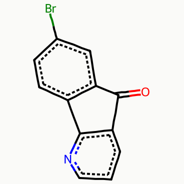 O=C1c2cc(Br)ccc2-c2ncccc21